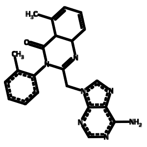 CC1=CC=CC2N=C(Cn3cnc4c(N)ncnc43)N(c3ccccc3C)C(=O)C12